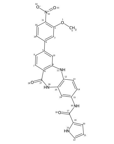 COc1cc(-c2ccc3c(c2)Nc2ccc(NC(=O)c4ccc[nH]4)cc2NC3=O)ccc1[N+](=O)[O-]